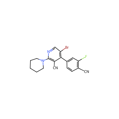 N#Cc1ccc(-c2c(Br)cnc(N3CCCCC3)c2C#N)cc1F